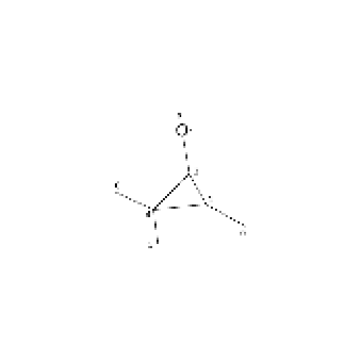 CC1C([O])C1(C)C